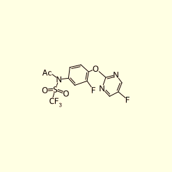 CC(=O)N(c1ccc(Oc2ncc(F)cn2)c(F)c1)S(=O)(=O)C(F)(F)F